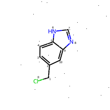 ClCc1ccc2[nH][c]nc2c1